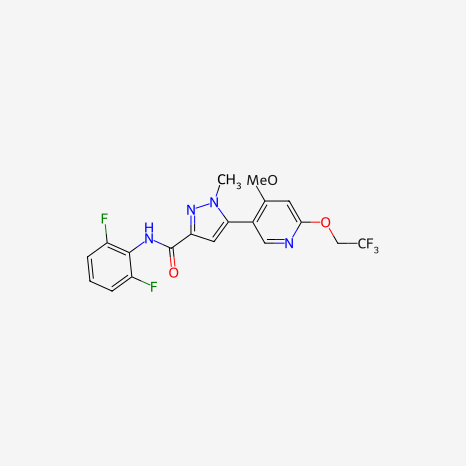 COc1cc(OCC(F)(F)F)ncc1-c1cc(C(=O)Nc2c(F)cccc2F)nn1C